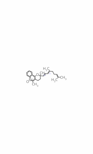 CC(C)=CCC/C(C)=C/C=C/C1(C)CCc2c(c3ccccc3[n+]([O-])c2C)O1